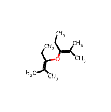 CCC(OC(CC)=C(C)C)=C(C)C